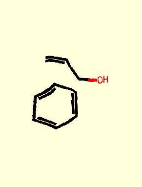 C=CCO.c1ccccc1